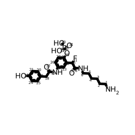 NCCCCCCNC(=O)C(F)c1cc(NC(=O)Cc2ccc(O)cc2)ccc1OP(=O)(O)O